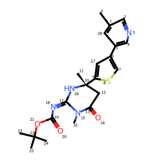 Cc1cncc(-c2csc([C@]3(C)CC(=O)N(C)/C(=N\C(=O)OC(C)(C)C)N3)c2)c1